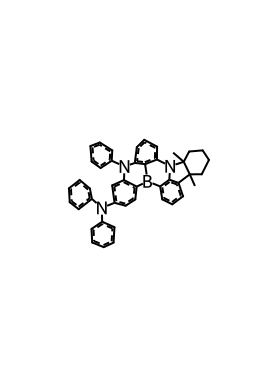 CC12CCCCC1(C)N1c3cccc4c3B(c3ccc(N(c5ccccc5)c5ccccc5)cc3N4c3ccccc3)c3cccc2c31